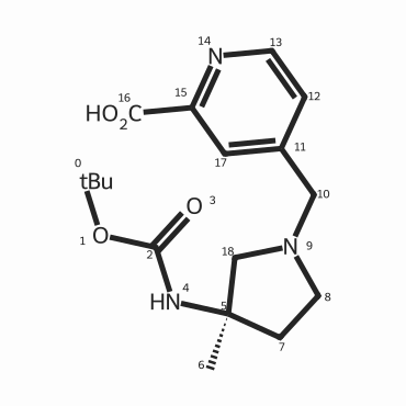 CC(C)(C)OC(=O)N[C@]1(C)CCN(Cc2ccnc(C(=O)O)c2)C1